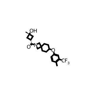 Cc1ccc(OC2CCC3(CC2)CN(C(=O)[C@H]2C[C@@](C)(O)C2)C3)cc1C(F)(F)F